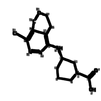 O=C(O)N1CCC[C@@H](Nc2nnc(Cl)c3c2CCOC3)C1